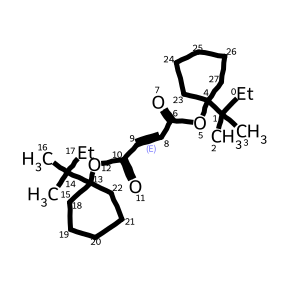 CCC(C)(C)C1(OC(=O)/C=C/C(=O)OC2(C(C)(C)CC)CCCCC2)CCCCC1